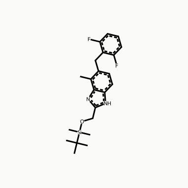 Cc1c(Cc2c(F)cccc2F)ccc2[nH]c(CO[Si](C)(C)C(C)(C)C)nc12